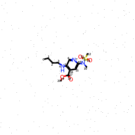 CCCCNc1cnc(N(C)S(C)(=O)=O)cc1C(=O)OC